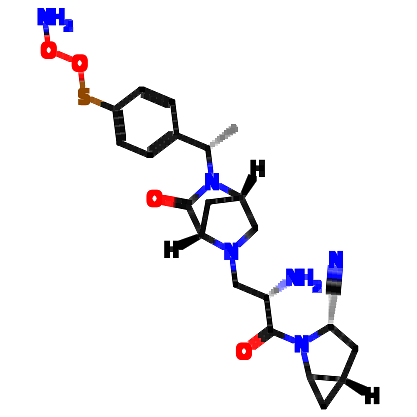 C[C@@H](c1ccc(SOON)cc1)N1C(=O)[C@@H]2C[C@H]1CN2C[C@H](N)C(=O)N1C2C[C@H]2C[C@H]1C#N